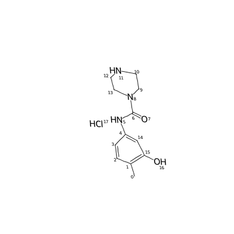 Cc1ccc(NC(=O)N2CCNCC2)cc1O.Cl